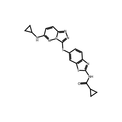 O=C(Nc1nc2ccc(Sc3nnc4ccc(NC5CC5)nn34)cc2s1)C1CC1